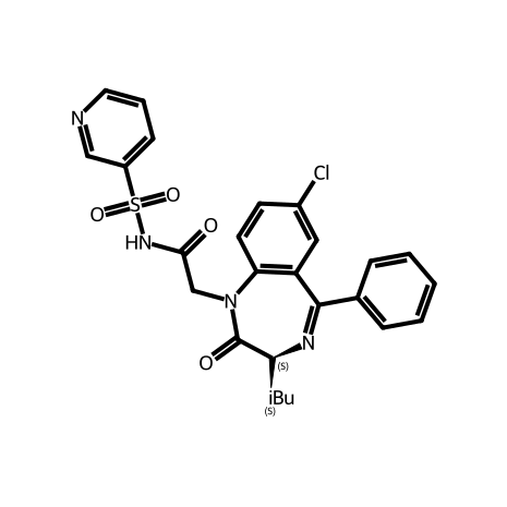 CC[C@H](C)[C@@H]1N=C(c2ccccc2)c2cc(Cl)ccc2N(CC(=O)NS(=O)(=O)c2cccnc2)C1=O